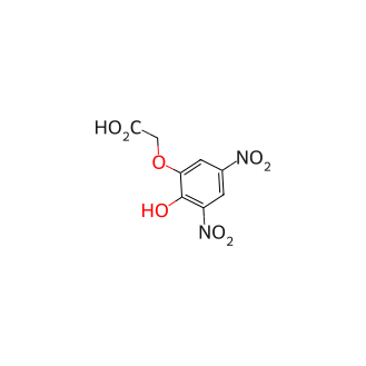 O=C(O)COc1cc([N+](=O)[O-])cc([N+](=O)[O-])c1O